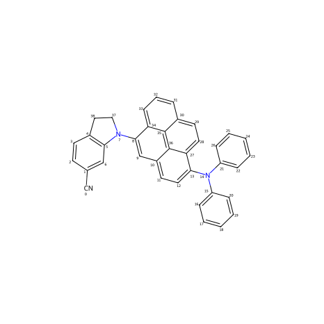 N#Cc1ccc2c(c1)N(c1cc3ccc(N(c4ccccc4)c4ccccc4)c4ccc5cccc1c5c34)CC2